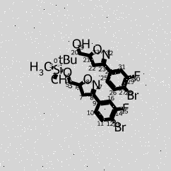 CC(C)(C)[Si](C)(C)OCC1CC(c2ccc(Br)c(F)c2)=NO1.OCC1CC(c2ccc(Br)c(F)c2)=NO1